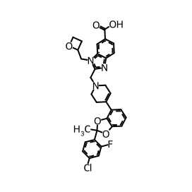 CC1(c2ccc(Cl)cc2F)Oc2cccc(C3=CCN(Cc4nc5ccc(C(=O)O)cc5n4CC4CCO4)CC3)c2O1